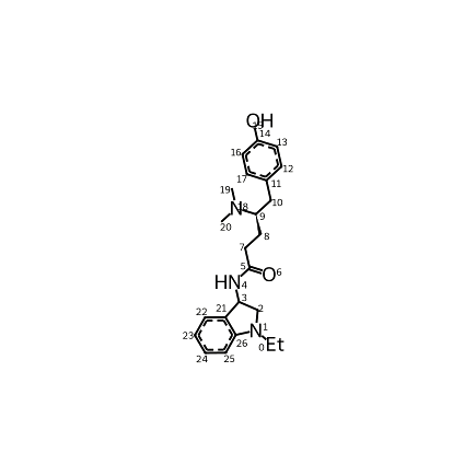 CCN1CC(NC(=O)CC[C@H](Cc2ccc(O)cc2)N(C)C)c2ccccc21